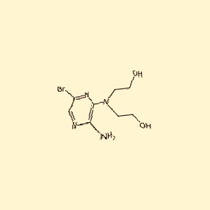 Nc1ncc(Br)nc1N(CCO)CCO